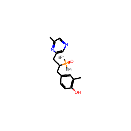 CCCP(=O)(CCC)C(Cc1ccc(O)c(C)c1)Cc1cncc(C)n1